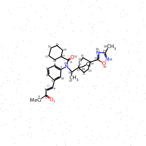 COC(=O)/C=C/c1cccc(N(C(=O)C2CCCCC2)C(C)C23CCC(c4nc(C)no4)(CC2)CC3)c1